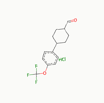 Cl.O=CC1CCC(c2ccc(OC(F)(F)F)cc2)CC1